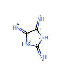 N=C1NC(=N)C(=N)N1